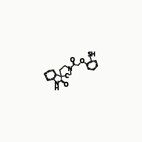 O=C(COc1ccccc1S)N1CCC2(CC1)C(=O)Nc1ccccc12